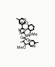 COc1cccc(OC)c1-n1c(NS(=O)(=O)[C@H](C)[C@@H](OC)c2cnc(C)cn2)nnc1-c1cncc(C)c1